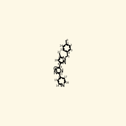 Cc1ccc(Cn2nc(-c3nc(-c4ccncc4)no3)cc2C)cc1